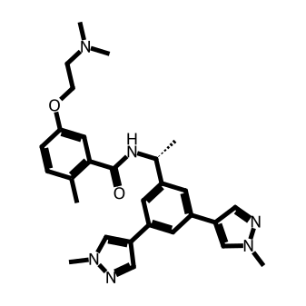 Cc1ccc(OCCN(C)C)cc1C(=O)N[C@H](C)c1cc(-c2cnn(C)c2)cc(-c2cnn(C)c2)c1